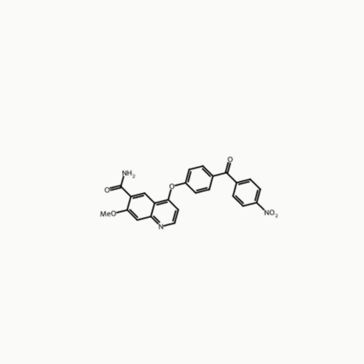 COc1cc2nccc(Oc3ccc(C(=O)c4ccc([N+](=O)[O-])cc4)cc3)c2cc1C(N)=O